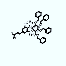 COc1cc(C=CC(=O)Br)cc(OC)c1O[C@@H]1O[C@H](COCc2ccccc2)[C@H](OCc2ccccc2)[C@H](OCc2ccccc2)[C@H]1OCc1ccccc1